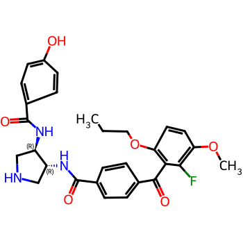 CCCOc1ccc(OC)c(F)c1C(=O)c1ccc(C(=O)N[C@@H]2CNC[C@H]2NC(=O)c2ccc(O)cc2)cc1